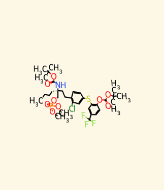 CCCC[C@](CCc1ccc(Sc2cc(C(F)(F)F)ccc2OC(=O)OC(C)(C)C)cc1Cl)(COP(=O)(OC)OC)NC(=O)OC(C)(C)C